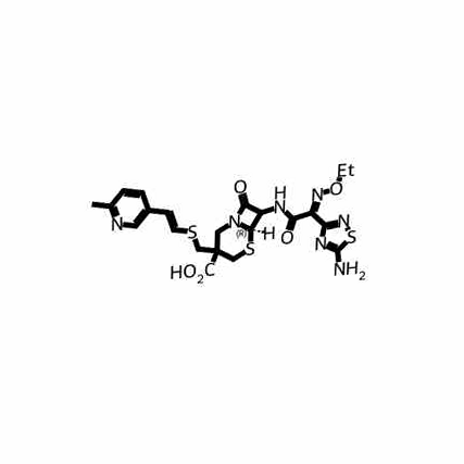 CCON=C(C(=O)NC1C(=O)N2CC(CSC=Cc3ccc(C)nc3)(C(=O)O)CS[C@H]12)c1nsc(N)n1